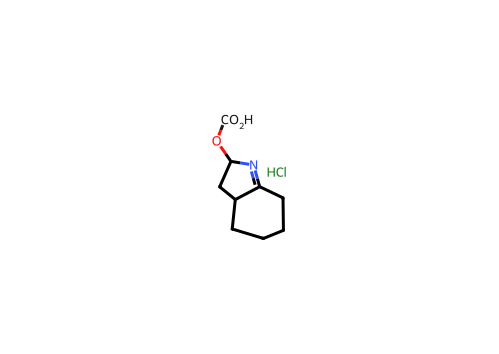 Cl.O=C(O)OC1CC2CCCCC2=N1